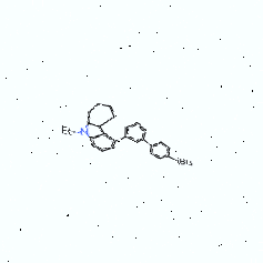 CCC(C)c1ccc(-c2cccc(-c3cccc4c3C3CCCCC3N4CC)c2)cc1